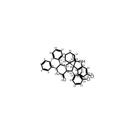 O=C1O[C@@H](c2ccccc2)[C@@H](c2ccccc2)N2C1[C@H](c1cccc(Cl)c1F)[C@@]1(C(=O)Nc3cc(Cl)ccc31)C21CCCCC1